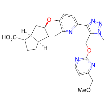 COCc1ccnc(OCc2c(-c3ccc(O[C@H]4C[C@H]5CCC(C(=O)O)[C@H]5C4)c(C)n3)nnn2C)n1